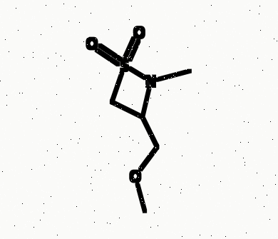 COCC1CS(=O)(=O)N1C